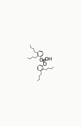 CCCCc1cccc(OP(O)Oc2cccc(CCCC)c2CCCC)c1CCCC